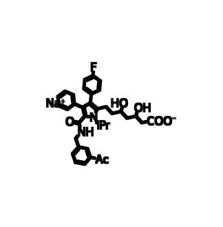 CC(=O)c1cccc(CNC(=O)c2c(-c3ccccc3)c(-c3ccc(F)cc3)c(CCC(O)CC(O)CC(=O)[O-])n2C(C)C)c1.[Na+]